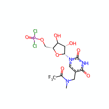 CN(Cc1cn([C@@H]2O[C@H](COP(=O)(Cl)Cl)C(O)[C@@H]2O)c(=O)[nH]c1=O)C(=O)C(F)(F)F